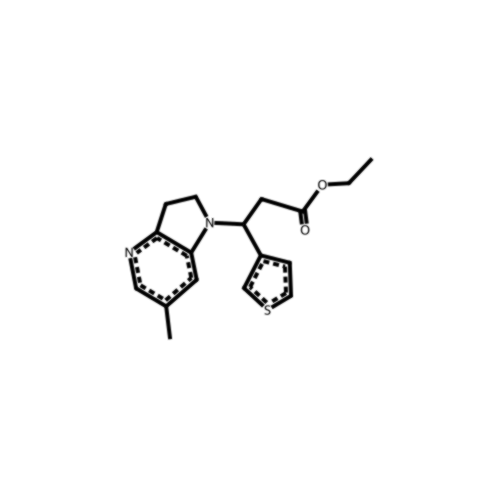 CCOC(=O)CC(c1ccsc1)N1CCc2ncc(C)cc21